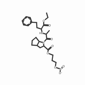 CCOC(=O)C(CCc1ccccc1)NC(C)C(=O)N1C(C(=O)OCCCO[N+](=O)[O-])CC2CCCC21